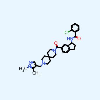 Cc1c(CN2CCC3(CC2)CCN(C(=O)c2ccc4c(c2)C(NC(=O)c2ccccc2Cl)CC4)CC3)cnn1C